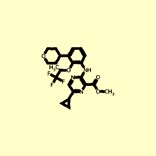 COC(=O)c1nc(C2CC2)cnc1Nc1cccc(C2CCOCC2)c1O[C@@H](C)C(F)(F)F